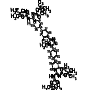 Cc1cc(C2=CCN(/C(=N\C(=O)OC(C)(C)C)NC(=O)OC(C)(C)C)CC2)ccc1-c1nnc(-c2ccc(C3=CCN(/C(=N\C(=O)OC(C)(C)C)NC(=O)OC(C)(C)C)CC3)cc2)n1C